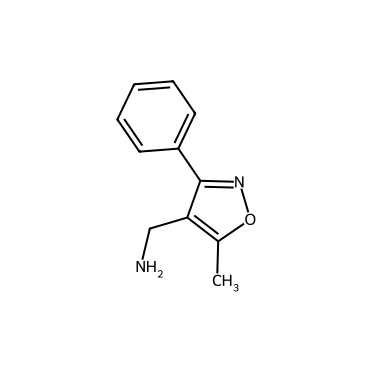 Cc1onc(-c2ccccc2)c1CN